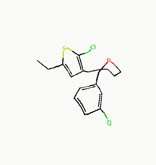 CCc1cc(C2(c3cccc(Cl)c3)CCO2)c(Cl)s1